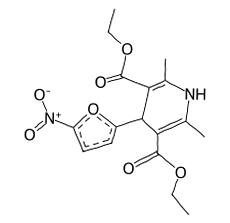 CCOC(=O)C1=C(C)NC(C)=C(C(=O)OCC)C1c1ccc([N+](=O)[O-])o1